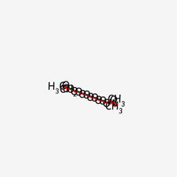 C=C(C)C(=O)OCCOCCOCCOCCOCCOCCOCCOCCOCCOCCOc1cc(C)c(C(=O)c2ccccc2)cc1C